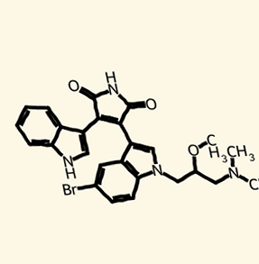 COC(CN(C)C)Cn1cc(C2=C(c3c[nH]c4ccccc34)C(=O)NC2=O)c2cc(Br)ccc21